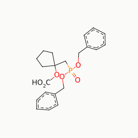 O=C(O)OC1(CP(=O)(OCc2ccccc2)OCc2ccccc2)CCCC1